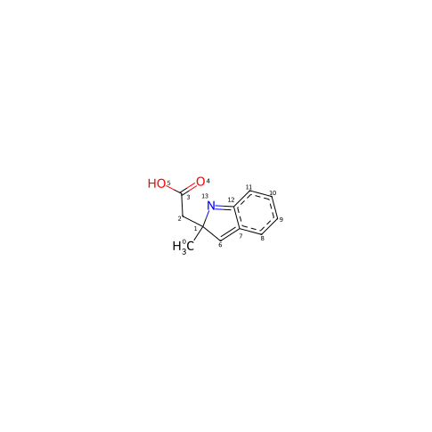 CC1(CC(=O)O)C=c2ccccc2=N1